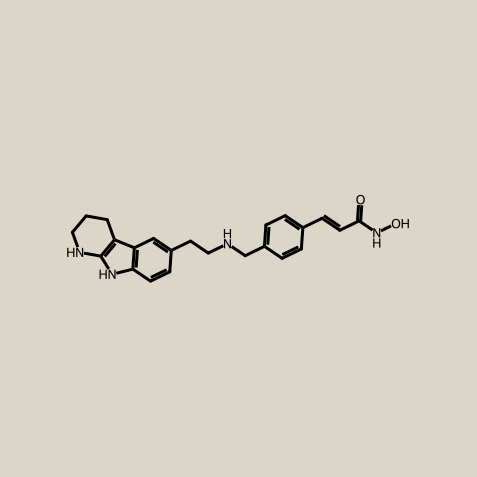 O=C(/C=C/c1ccc(CNCCc2ccc3[nH]c4c(c3c2)CCCN4)cc1)NO